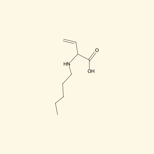 C=CC(NCCCCC)C(=O)O